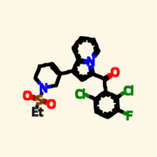 CCS(=O)(=O)N1CCC=C(c2cc(C(=O)c3c(Cl)ccc(F)c3Cl)n3ccccc23)C1